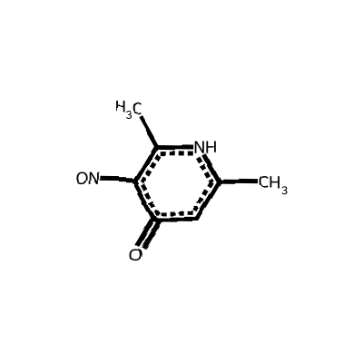 Cc1cc(=O)c(N=O)c(C)[nH]1